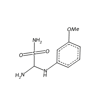 COc1cccc(NC(N)S(N)(=O)=O)c1